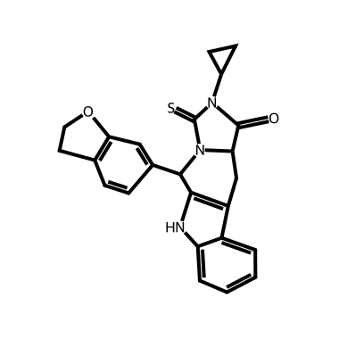 O=C1C2Cc3c([nH]c4ccccc34)C(c3ccc4c(c3)OCC4)N2C(=S)N1C1CC1